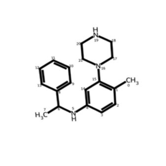 Cc1ccc(NC(C)c2ccccc2)cc1N1CCNCC1